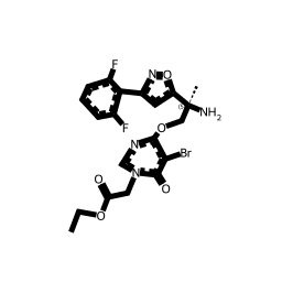 CCOC(=O)Cn1cnc(OC[C@](C)(N)c2cc(-c3c(F)cccc3F)no2)c(Br)c1=O